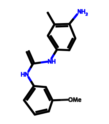 C=C(Nc1cccc(OC)c1)Nc1ccc(N)c(C)c1